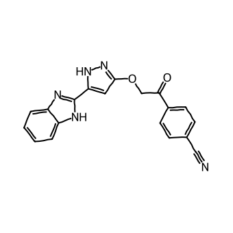 N#Cc1ccc(C(=O)COc2cc(-c3nc4ccccc4[nH]3)[nH]n2)cc1